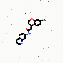 CC(C)(C)c1ccc2c(c1)OCCC2=CC(=O)Nc1ccc2cccnc2c1